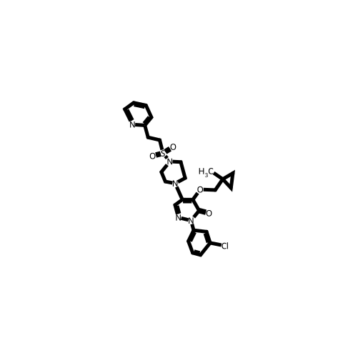 CC1(COc2c(N3CCN(S(=O)(=O)CCc4ccccn4)CC3)cnn(-c3cccc(Cl)c3)c2=O)CC1